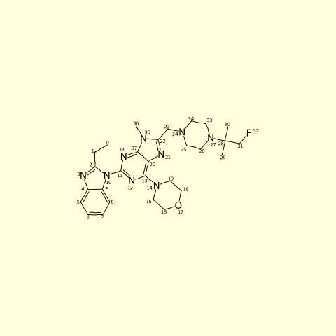 CCc1nc2ccccc2n1-c1nc(N2CCOCC2)c2nc(CN3CCN(C(C)(C)CF)CC3)n(C)c2n1